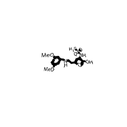 COc1cc(CNCCc2ccc(O)c(NS(C)(=O)=O)c2)cc(OC)c1